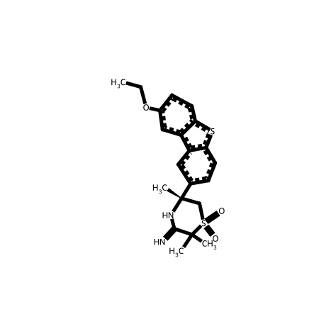 CCOc1ccc2sc3ccc([C@]4(C)CS(=O)(=O)C(C)(C)C(=N)N4)cc3c2c1